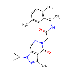 Cc1ccc(C)c([C@H](C)NC(=O)Cn2ncc3c(c(C)nn3C3CC3)c2=O)c1